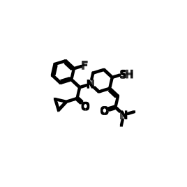 CN(C)C(=O)C=C1CN(C(C(=O)C2CC2)c2ccccc2F)CCC1S